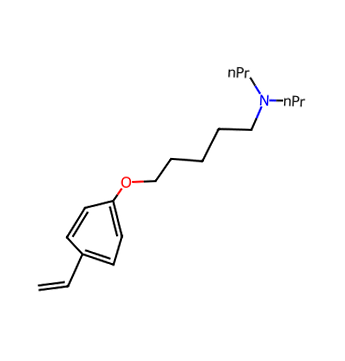 C=Cc1ccc(OCCCCCN(CCC)CCC)cc1